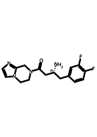 N[C@@H](CC(=O)N1CCn2ccnc2C1)Cc1ccc(F)c(F)c1